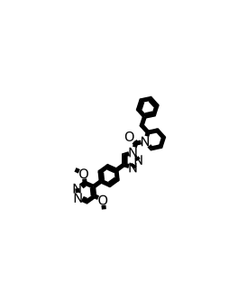 COc1cnnc(OC)c1-c1ccc(-c2cn(C(=O)N3CCCCC3Cc3ccccc3)nn2)cc1